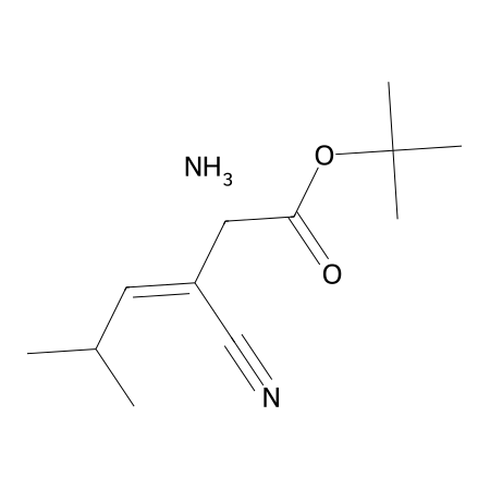 CC(C)/C=C(\C#N)CC(=O)OC(C)(C)C.N